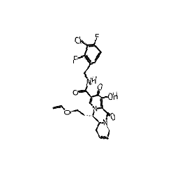 C=COCC[C@H]1C2CC=CCN2C(=O)c2c(O)c(=O)c(C(=O)NCc3ccc(F)c(Cl)c3F)cn21